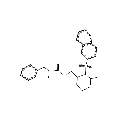 Cl.N[C@@H](Cc1ccccc1)C(=O)NCC1CCNC(C(=O)O)C1S(=O)(=O)c1ccc2ccccc2c1